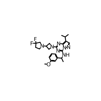 COc1cccc(C(C)Nc2nc(N3CC(N4CCC(F)(F)C4)C3)nc3c(C(C)C)cnn23)c1